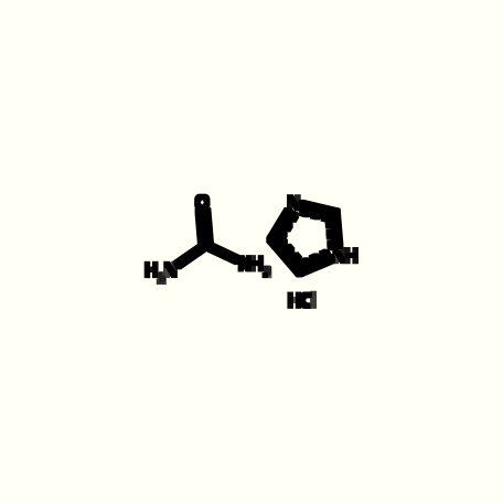 Cl.NC(N)=O.c1c[nH]cn1